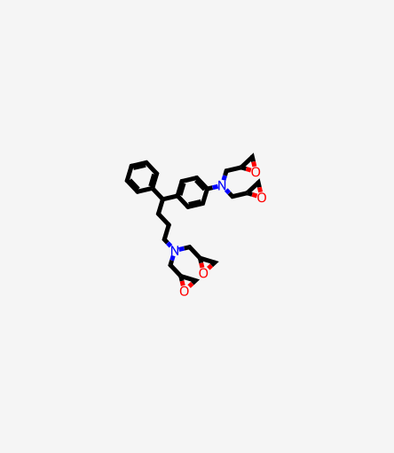 c1ccc(C(CCCN(CC2CO2)CC2CO2)c2ccc(N(CC3CO3)CC3CO3)cc2)cc1